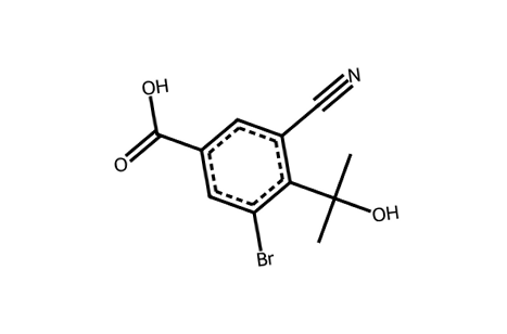 CC(C)(O)c1c(Br)cc(C(=O)O)cc1C#N